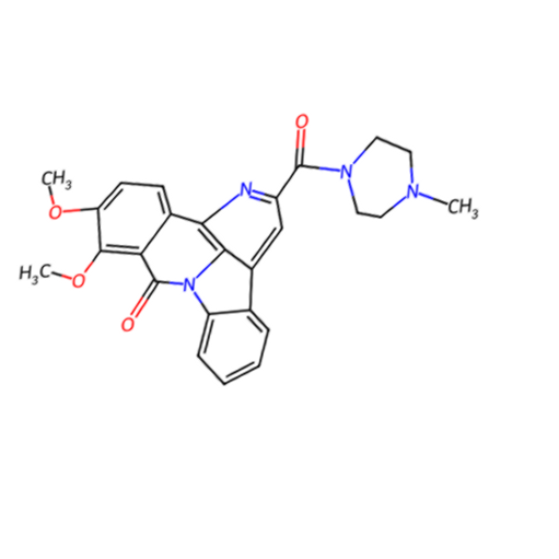 COc1ccc2c(c1OC)c(=O)n1c3ccccc3c3cc(C(=O)N4CCN(C)CC4)nc2c31